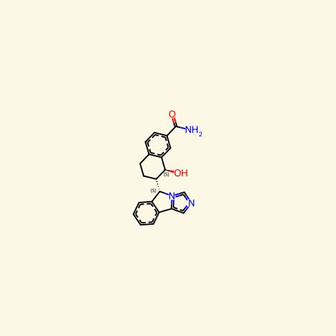 NC(=O)c1ccc2c(c1)[C@@H](O)C([C@H]1c3ccccc3-c3cncn31)CC2